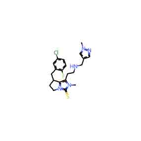 Cn1cc(CNCCc2c3n(c(=S)n2C)CCC3Cc2cc(Cl)ccc2F)cn1